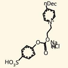 CCCCCCCCCCc1cc[n+](CCOC(=O)Oc2ccc(S(=O)(=O)O)cc2)cc1.Cl.[NaH]